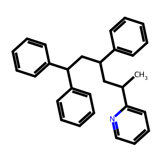 CC(CC(CC(c1ccccc1)c1ccccc1)c1ccccc1)c1ccccn1